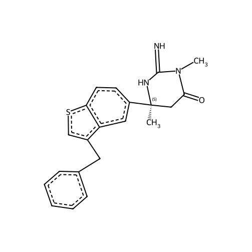 CN1C(=N)N[C@](C)(c2ccc3scc(Cc4ccccc4)c3c2)CC1=O